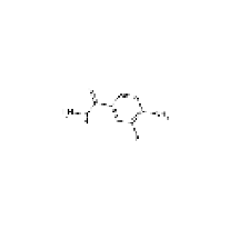 C=C(NN)c1ccc(N)c(F)c1